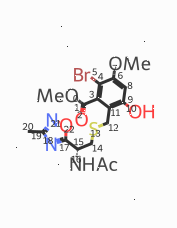 COC(=O)c1c(Br)c(OC)cc(O)c1CSC[C@H](NC(C)=O)c1nc(C)no1